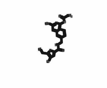 CC(C)(C)c1cc2cc(CNC(=O)c3cc(Cl)c(CCl)s3)ccc2c(OC(N)=O)n1